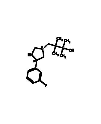 CC(C)(C[C@H]1CN[C@@H](c2cccc(F)c2)C1)[Si](C)(C)O